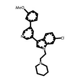 COc1cccc(-c2cncc(-c3cn(CCN4CCCCC4)c4cc(Cl)ccc34)c2)c1